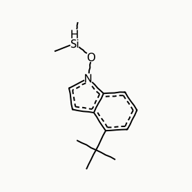 C[SiH](C)On1ccc2c(C(C)(C)C)cccc21